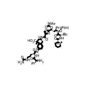 CCCCCON(C(=O)[C@@H](NC(=O)[C@H]1CCCCN1C)[C@@H](C)CC)[C@H](C[C@@H](OC(=O)NC)c1nc(C(=O)N[C@@H](Cc2ccc(NC(=O)[C@H](CCCNC(N)=O)NC(=O)[C@@H](N)C(C)C)cc2)CC(C)(C)C(=O)O)cs1)C(C)C